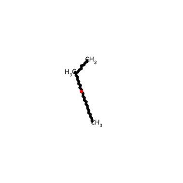 CCCCCCCCCCCCCCCCCCCCCCCCC(C)CCCCCCCC